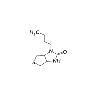 CCCCN1C(=O)NC2CSCC21